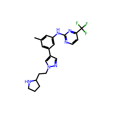 Cc1cc(Nc2nccc(C(F)(F)F)n2)cc(-c2cnn(CCC3CCCN3)c2)c1